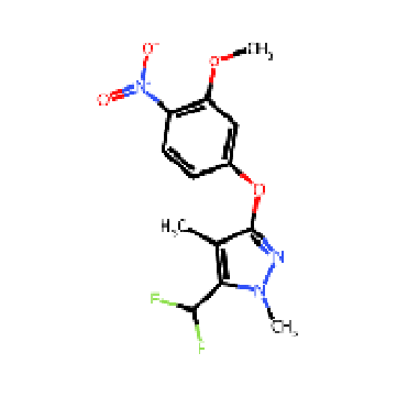 COc1cc(Oc2nn(C)c(C(F)F)c2C)ccc1[N+](=O)[O-]